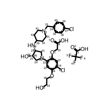 O=C(O)C(F)(F)F.O=C(O)COc1cc(Cl)c(OCCO)cc1N1C[C@@H](O)[C@H](NC2CCN(Cc3ccc(Cl)cc3)CC2)C1